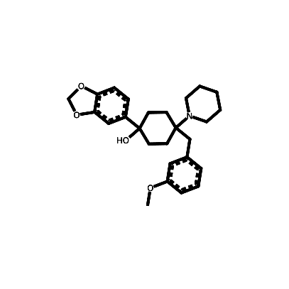 COc1cccc(CC2(N3CCCCC3)CCC(O)(c3ccc4c(c3)OCO4)CC2)c1